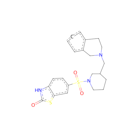 O=c1[nH]c2ccc(S(=O)(=O)N3CCCC(CN4CCc5ccccc5C4)C3)cc2s1